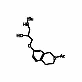 CC(=O)N1CCc2ccc(OCC(O)CNC(C)(C)C)cc2C1